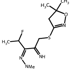 CN/N=C(\C(=N)CSC1=NOC(C)(C)C1)C(C)F